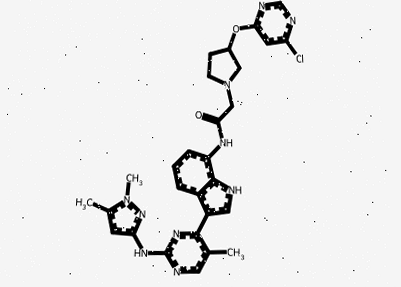 Cc1cnc(Nc2cc(C)n(C)n2)nc1-c1c[nH]c2c(NC(=O)CN3CCC(Oc4cc(Cl)ncn4)C3)cccc12